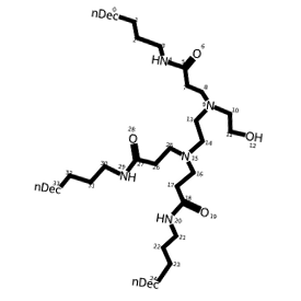 CCCCCCCCCCCCCNC(=O)CCN(CCO)CCN(CCC(=O)NCCCCCCCCCCCCC)CCC(=O)NCCCCCCCCCCCCC